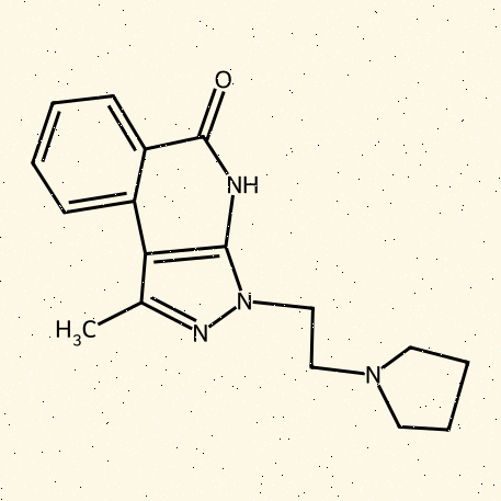 Cc1nn(CCN2CCCC2)c2[nH]c(=O)c3ccccc3c12